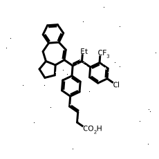 CC/C(=C(\C1=Cc2ccccc2CC2CCCC12)c1ccc(/C=C/CC(=O)O)cc1)c1ccc(Cl)cc1C(F)(F)F